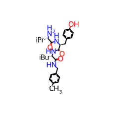 CCC(C)[C@H](NC(=O)[C@H](Cc1ccc(O)cc1)NC(=O)[C@@H](N)C(C)C)C(=O)NCc1ccc(C)cc1